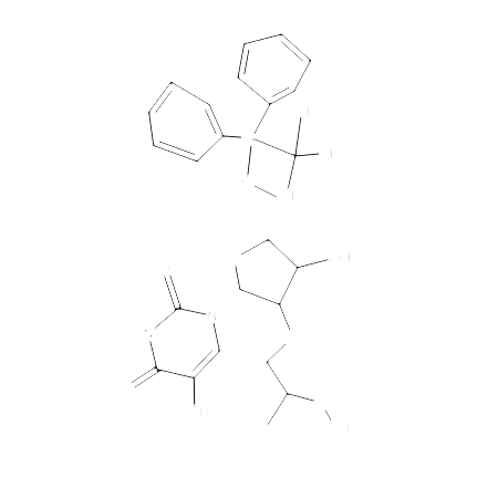 COC(C)COC1C(O)[C@@H](CO[Si](c2ccccc2)(c2ccccc2)C(C)(C)C)O[C@H]1n1cc(C)c(=O)[nH]c1=O